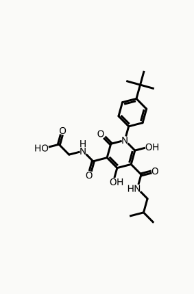 CC(C)CNC(=O)c1c(O)c(C(=O)NCC(=O)O)c(=O)n(-c2ccc(C(C)(C)C)cc2)c1O